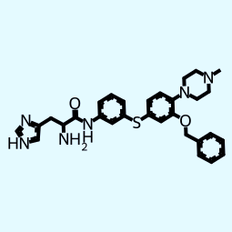 CN1CCN(c2ccc(Sc3cccc(NC(=O)C(N)Cc4c[nH]cn4)c3)cc2OCc2ccccc2)CC1